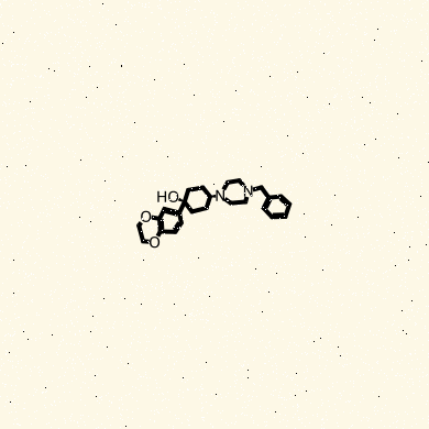 O[C@]1(c2ccc3c(c2)OCCO3)CC[C@H](N2CCN(Cc3ccccc3)CC2)CC1